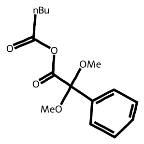 [CH2]CCCC(=O)OC(=O)C(OC)(OC)c1ccccc1